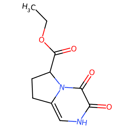 CCOC(=O)C1CCc2c[nH]c(=O)c(=O)n21